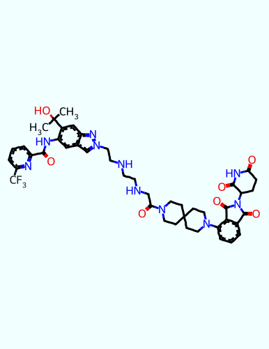 CC(C)(O)c1cc2nn(CCNCCNCC(=O)N3CCC4(CC3)CCN(c3cccc5c3C(=O)N(C3CCC(=O)NC3=O)C5=O)CC4)cc2cc1NC(=O)c1cccc(C(F)(F)F)n1